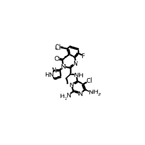 CCC(Nc1nc(N)nc(N)c1Cl)c1nc2c(F)ccc(Cl)c2c(=O)n1-c1cc[nH]n1